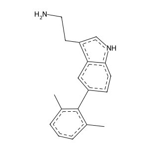 Cc1cccc(C)c1-c1ccc2[nH]cc(CCN)c2c1